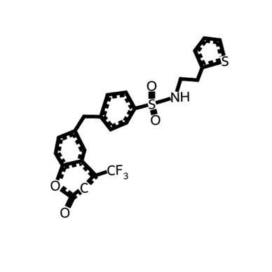 O=c1cc(C(F)(F)F)c2cc(Cc3ccc(S(=O)(=O)NCCc4cccs4)cc3)ccc2o1